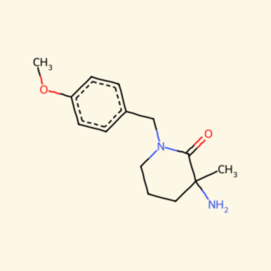 COc1ccc(CN2CCCC(C)(N)C2=O)cc1